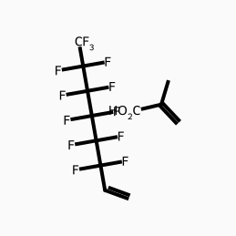 C=C(C)C(=O)O.C=CC(F)(F)C(F)(F)C(F)(F)C(F)(F)C(F)(F)C(F)(F)F